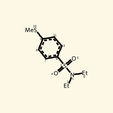 CCN(CC)S(=O)(=O)c1ccc(SC)cc1